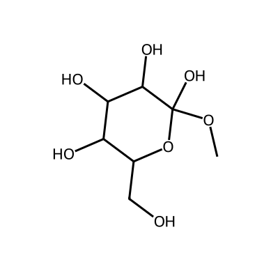 COC1(O)OC(CO)C(O)C(O)C1O